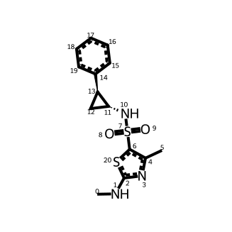 CNc1nc(C)c(S(=O)(=O)N[C@@H]2C[C@H]2c2ccccc2)s1